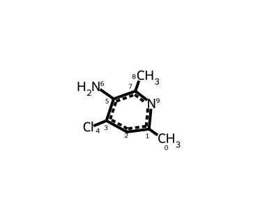 Cc1cc(Cl)c(N)c(C)n1